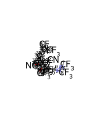 C=C(/C=C(\C=C(/C)C(F)(F)F)C(F)(F)F)c1ccc2c3ccccc3n(-c3cc(C#N)cc(-n4c5ccccc5c5ccc(-c6cc(C(F)(F)F)cc(C(F)(F)F)c6)cc54)c3-c3cc(C#N)cc(C(F)(F)F)c3)c2c1